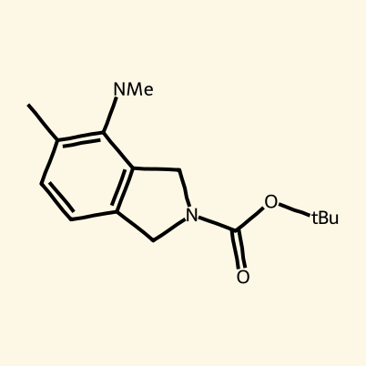 CNc1c(C)ccc2c1CN(C(=O)OC(C)(C)C)C2